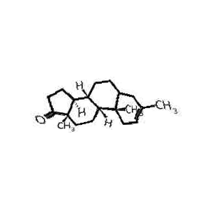 CC1=CC[C@@]2(C)C(CC[C@@H]3[C@H]2CC[C@]2(C)C(=O)CC[C@@H]32)C1